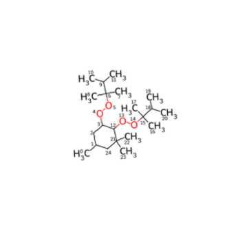 CC1CC(OOC(C)(C)C(C)C)C(OOC(C)(C)C(C)C)C(C)(C)C1